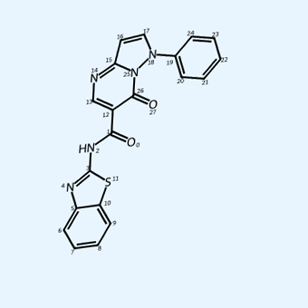 O=C(Nc1nc2ccccc2s1)c1cnc2ccn(-c3ccccc3)n2c1=O